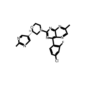 Cc1cnc2c(-c3ccc(Cl)cc3F)nc(N3CCO[C@@H](c4cnc(C)nc4)C3)nc2n1